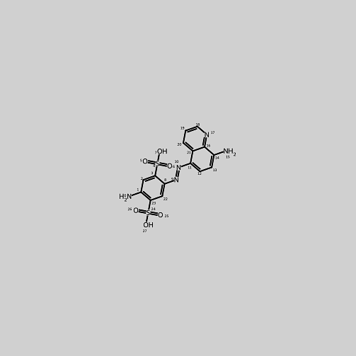 Nc1cc(S(=O)(=O)O)c(N=Nc2ccc(N)c3ncccc23)cc1S(=O)(=O)O